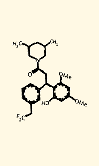 COc1cc(O)c(C(CC(=O)N2CC(C)CC(C)C2)c2cccc(CC(F)(F)F)c2)c(OC)c1